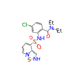 CCN(CC)C(=O)c1ccc(Cl)cc1NS(=O)(=O)C1=CC=CN2SNC=C12